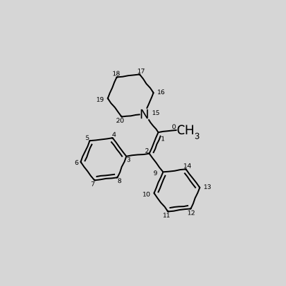 CC(=C(c1ccccc1)c1ccccc1)N1CCCCC1